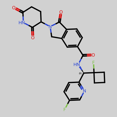 O=C1CCC(N2Cc3cc(C(=O)N[C@H](c4ccc(F)cn4)C4(F)CCC4)ccc3C2=O)C(=O)N1